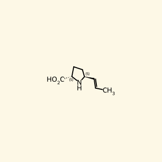 CC=C[C@@H]1CC[C@@H](C(=O)O)N1